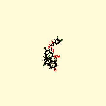 CCC(=O)O[C@]1(C(=O)OCC(=O)c2ccc(F)c(F)c2)[C@H](C)C[C@H]2[C@@H]3C[C@H](F)C4=CC(=O)C=C[C@]4(C)[C@@]3(F)[C@@H](O)C[C@@]21C